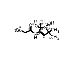 CC(C)(C)CC(=O)NC1=CC(C)(C)N(O)C1(C)C